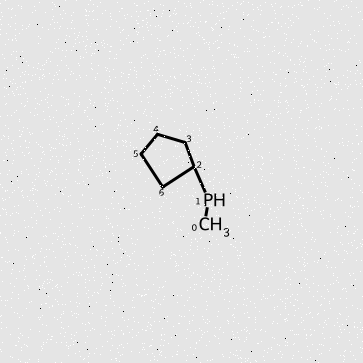 CPC1CCCC1